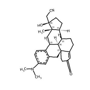 CN(C)c1ccc2c(c1)C[C@]13CCC(=O)C=C1CC[C@@H]1[C@@H]3[C@@H]2C[C@@]2(C)[C@H]1CC[C@@]2(O)CC#N